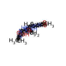 C=CC(=O)Nc1cc(Nc2nc(-c3ccnc(N4CCn5c(cc6c5CC(C)(C)C6)C4=O)c3CO)cn(C)c2=O)ccc1N1CCN(C2CCN(c3ccc(S(C)(=O)=O)cc3)CC2)C[C@@H]1C